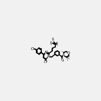 C[C@@H]1COC[C@H](C)N1C(=O)c1cccc(Cn2c(CCCC(F)(F)F)nc(-c3ccc(Cl)cc3)cc2=O)c1